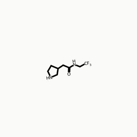 O=C(CC1CCNC1)NCC(F)(F)F